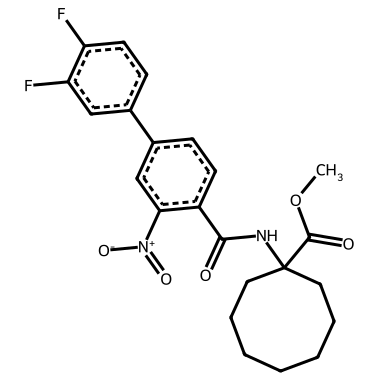 COC(=O)C1(NC(=O)c2ccc(-c3ccc(F)c(F)c3)cc2[N+](=O)[O-])CCCCCCC1